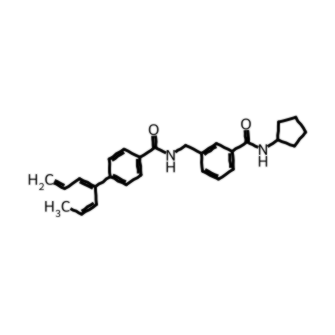 C=C/C=C(\C=C/C)c1ccc(C(=O)NCc2cccc(C(=O)NC3CCCC3)c2)cc1